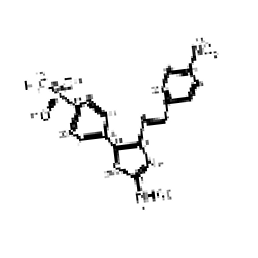 CC(=O)Nc1nc(C=Cc2ccc([N+](=O)[O-])cc2)c(-c2ccc(S(C)(=O)=O)cc2)s1